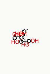 Cc1ccc(O)c(Cc2cc(C)c(CC(C)(c3ccc(O)cc3)c3ccc(O)cc3O)c(Cc3cc(C)ccc3O)c2O)c1